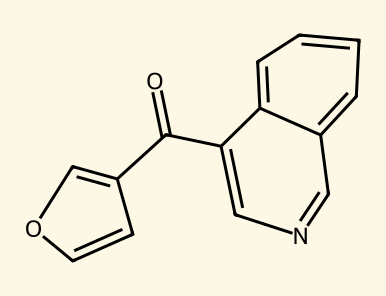 O=C(c1ccoc1)c1cncc2ccccc12